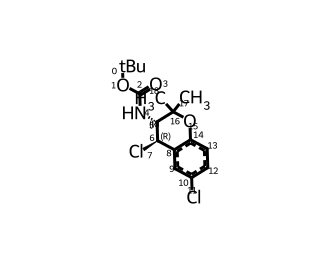 CC(C)(C)OC(=O)N[C@H]1[C@H](Cl)c2cc(Cl)ccc2OC1(C)C